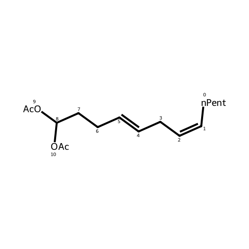 CCCCC/C=C\C/C=C/CCC(OC(C)=O)OC(C)=O